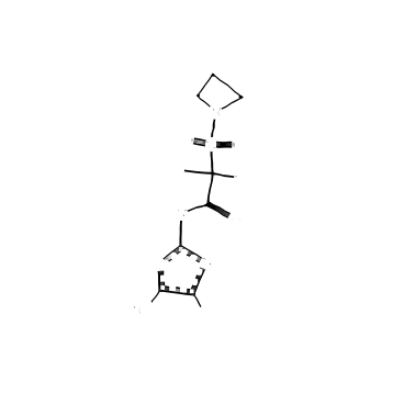 CC(C)(C)c1nc(NC(=O)C(C)(C)S(=O)(=O)N2CCC2)sc1C#N